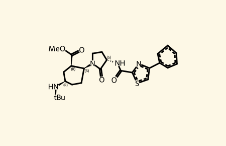 COC(=O)[C@@H]1C[C@H](NC(C)(C)C)CC[C@@H]1N1CC[C@H](NC(=O)c2nc(-c3ccccc3)cs2)C1=O